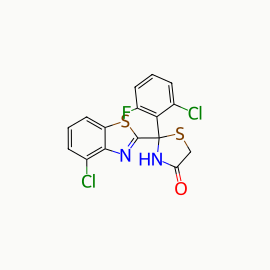 O=C1CSC(c2nc3c(Cl)cccc3s2)(c2c(F)cccc2Cl)N1